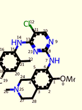 COc1cc2c(cc1Nc1ncc(Cl)c(Nc3ccc(C(F)(F)F)cc3C)n1)CN(C)CC2